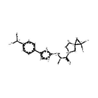 C[C@@H](Nc1nnc(-c2ccc(C(F)F)cc2)o1)C(=O)N1CC[C@@]2(C1)CC2(F)F